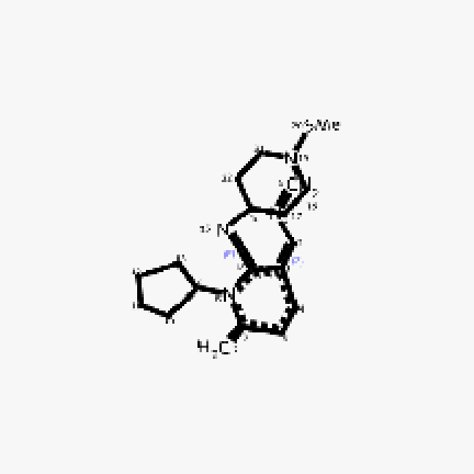 C=N/C=c1/ccc(=C)n(C2CCCC2)/c1=N/C1CCN(SC)CC1